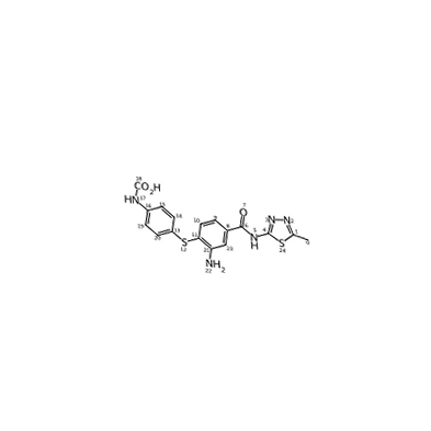 Cc1nnc(NC(=O)c2ccc(Sc3ccc(NC(=O)O)cc3)c(N)c2)s1